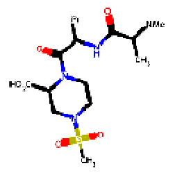 CNC(C)C(=O)NC(C(=O)N1CCN(S(C)(=O)=O)CC1C(=O)O)C(C)C